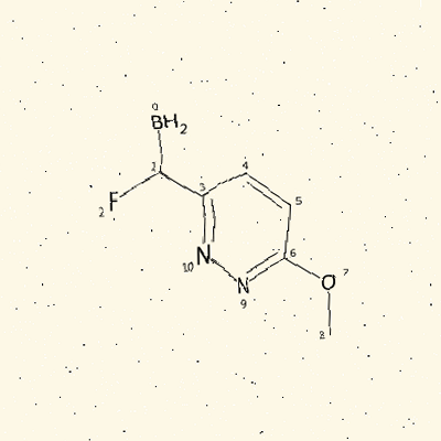 BC(F)c1ccc(OC)nn1